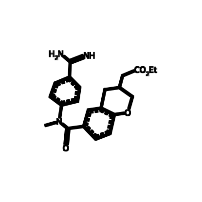 CCOC(=O)CC1COc2ccc(C(=O)N(C)c3ccc(C(=N)N)cc3)cc2C1